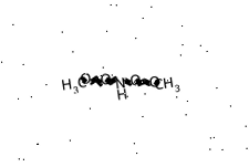 COCCCOCCNCCOCCCOC